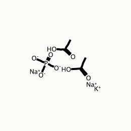 CC(=O)O.CC(=O)O.O=P([O-])([O-])[O-].[K+].[Na+].[Na+]